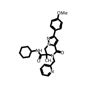 COc1ccc(-c2cc3n(n2)CC(C)(C(=O)NC2CCCCC2)N(Cc2ccccn2)C3=O)cc1